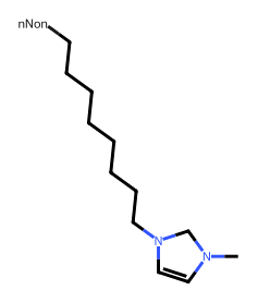 CCCCCCCCCCCCCCCCCN1C=CN(C)C1